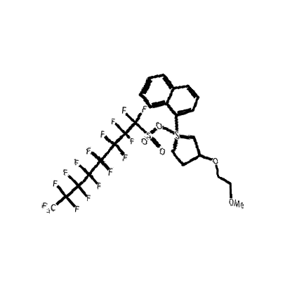 COCCOC1CCS(OS(=O)(=O)C(F)(F)C(F)(F)C(F)(F)C(F)(F)C(F)(F)C(F)(F)C(F)(F)C(F)(F)F)(c2cccc3ccccc23)C1